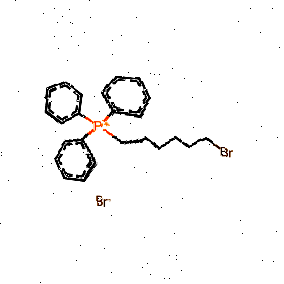 BrCCCCCC[P+](c1ccccc1)(c1ccccc1)c1ccccc1.[Br-]